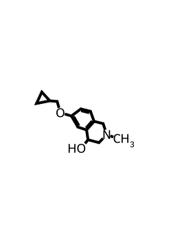 CN1Cc2ccc(OCC3CC3)cc2C(O)C1